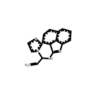 C=CC(NC1=Nc2cccc3cccc1c23)n1ccnc1